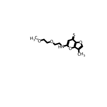 COCCOCCNc1cc(=S)c2occ(C)c2o1